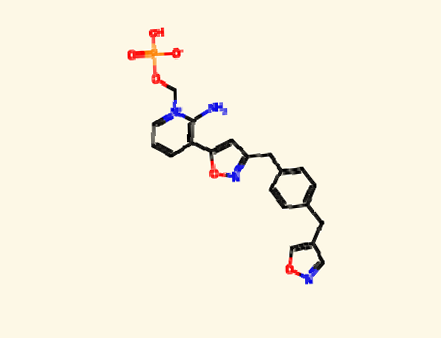 Nc1c(-c2cc(Cc3ccc(Cc4cnoc4)cc3)no2)ccc[n+]1COP(=O)([O-])O